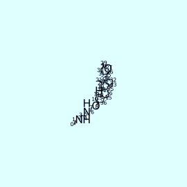 C=CNCCNCCOC1CCC2(C)C(CCC3[C@@H]2CC(=C)C2(C)C(C4=COC(=C)C=C4)CCC32C)C1